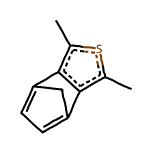 Cc1sc(C)c2c1C1=CC=C2C1